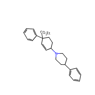 CCOC(=O)C1(c2ccccc2)C=CC(N2CCC(c3ccccc3)CC2)CC1